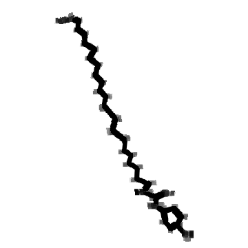 CCCCCCCCCCCCCCCCCCCCCCCCCCCCCCCNC(=O)Nc1ccc(O)cc1